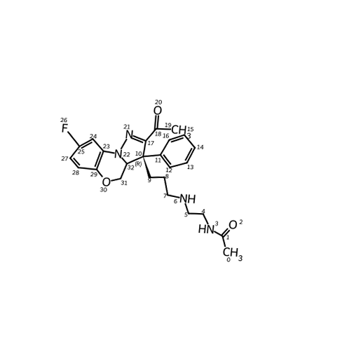 CC(=O)NCCNCCC[C@]1(c2ccccc2)C(C(C)=O)=NN2c3cc(F)ccc3OCC21